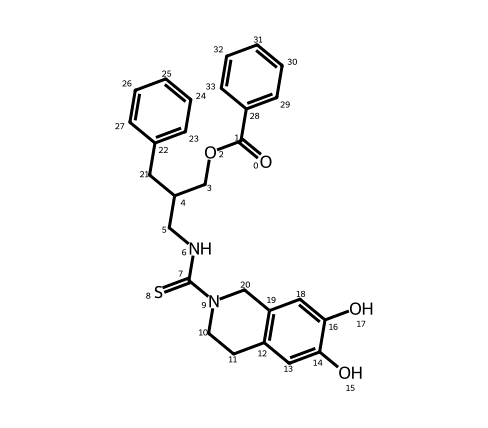 O=C(OCC(CNC(=S)N1CCc2cc(O)c(O)cc2C1)Cc1ccccc1)c1ccccc1